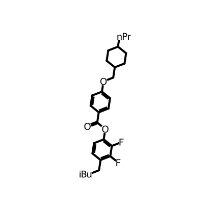 CCCC1CCC(COc2ccc(C(=O)Oc3ccc(CC(C)CC)c(F)c3F)cc2)CC1